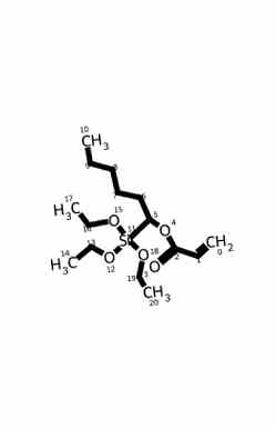 C=CC(=O)OC(CCCCC)[Si](OCC)(OCC)OCC